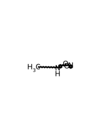 CCCCCCCCCCCCCCCNc1ccc(C=CC(=O)OCc2ccccn2)cc1